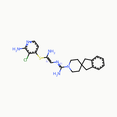 N/C(=C\N=C(/N)N1CCC2(CC1)Cc1ccccc1C2)Sc1ccnc(N)c1Cl